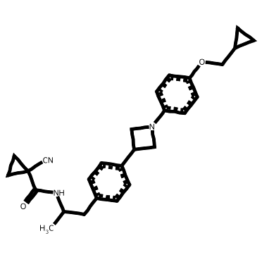 CC(Cc1ccc(C2CN(c3ccc(OCC4CC4)cc3)C2)cc1)NC(=O)C1(C#N)CC1